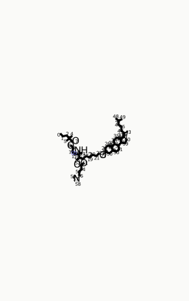 CCCC(C)(C)C(=O)OC/C=C\C(C)(N)C(C)C(CCCCCO[C@H]1CC[C@@]2(C)C(=CCC3C2CC[C@@]2(C)C3CC[C@@H]2[C@H](C)CCCC(C)C)C1)OC(=O)CCCN(C)C